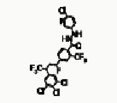 O=C(NNc1ccc(Cl)nc1)c1ccc(C(F)=CC(c2cc(Cl)c(Cl)c(Cl)c2)C(F)(F)F)cc1C(F)(F)F